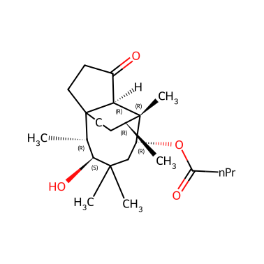 CCCC(=O)O[C@@H]1CC(C)(C)[C@@H](O)[C@H](C)C23CCC(=O)[C@H]2[C@@]1(C)[C@H](C)CC3